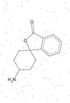 NC1CCC2(CC1)OC(=O)c1ccccc12